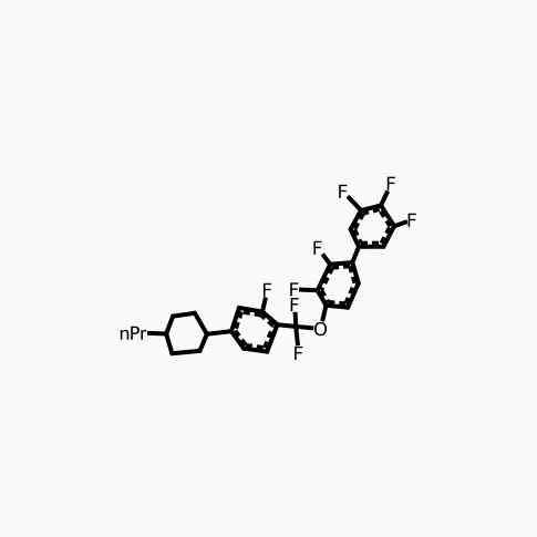 CCCC1CCC(c2ccc(C(F)(F)Oc3ccc(-c4cc(F)c(F)c(F)c4)c(F)c3F)c(F)c2)CC1